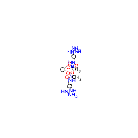 CN(C(=O)NCc1ccc(NC(=N)N)cc1)C(=O)OC[C@@H]1CCCC[C@H]1COC(=O)N(C)C(=O)NCc1ccc(NC(=N)N)cc1